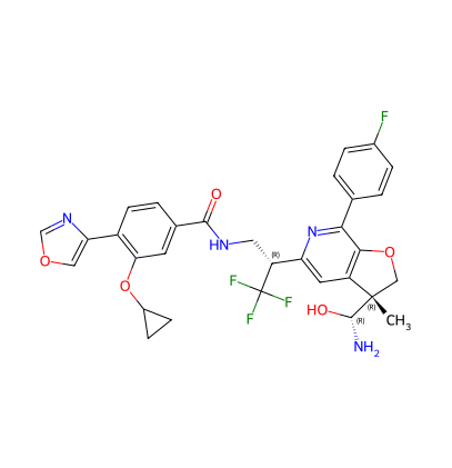 C[C@]1([C@H](N)O)COc2c1cc([C@@H](CNC(=O)c1ccc(-c3cocn3)c(OC3CC3)c1)C(F)(F)F)nc2-c1ccc(F)cc1